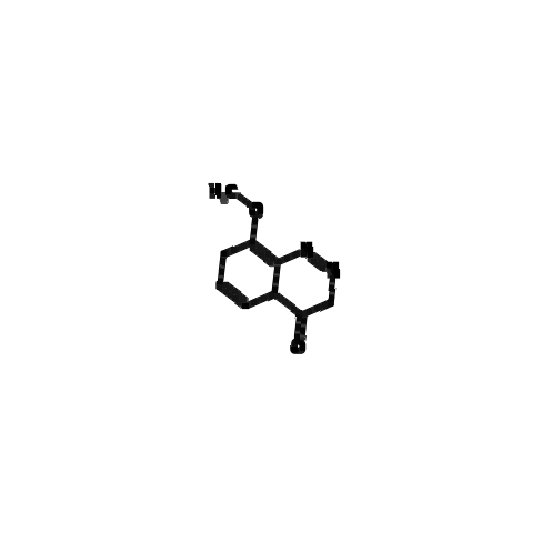 COC1=C2N=NCC(=O)C2C=CC1